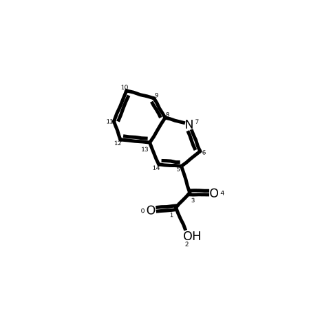 O=C(O)C(=O)c1cnc2ccccc2c1